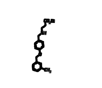 CCOC(=O)CCNCc1ccc(OCc2cccc(C)c2)cc1